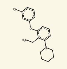 NCc1c(Oc2cccc(Cl)c2)cccc1N1CCCCC1